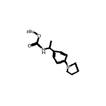 CC(NC(=O)OC(C)(C)C)c1ccc(N2CCCC2)cc1